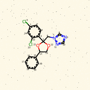 Clc1ccc(C2(Cn3cncn3)OCC(c3ccccc3)O2)c(Cl)c1